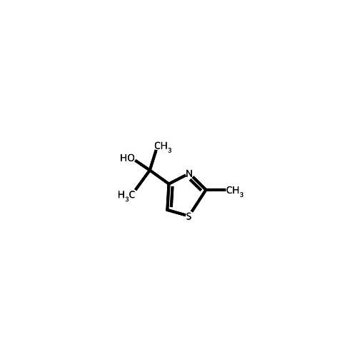 Cc1nc(C(C)(C)O)cs1